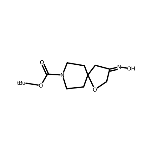 CC(C)(C)OC(=O)N1CCC2(CC1)CC(=NO)CO2